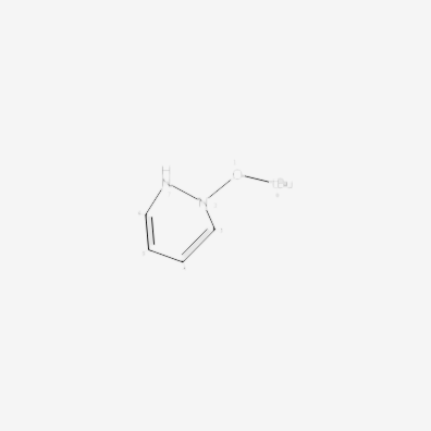 CC(C)(C)ON1C=CC=CN1